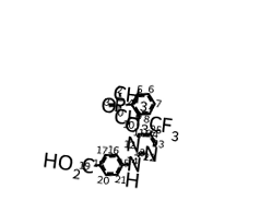 CP(C)(=O)c1ccccc1Oc1nc(Nc2ccc(C(=O)O)cc2)ncc1C(F)(F)F